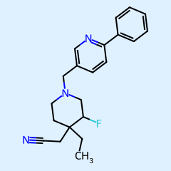 CCC1(CC#N)CCN(Cc2ccc(-c3ccccc3)nc2)CC1F